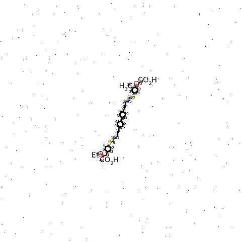 CCOC(Cc1ccc(SC/C=C/C#Cc2ccc(-c3ccc(C#C/C=C/CSc4ccc(OCC(=O)O)c(C)c4)cc3)cc2)cc1)C(=O)O